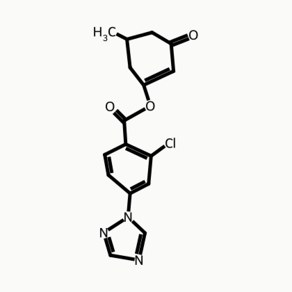 CC1CC(=O)C=C(OC(=O)c2ccc(-n3cncn3)cc2Cl)C1